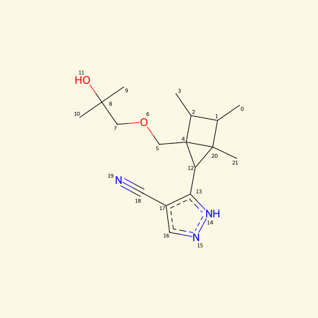 CC1C(C)C2(COCC(C)(C)O)C(c3[nH]ncc3C#N)C12C